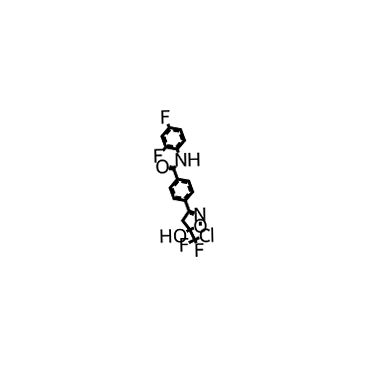 O=C(Nc1ccc(F)cc1F)c1ccc(C2=NOC(O)(C(F)(F)Cl)C2)cc1